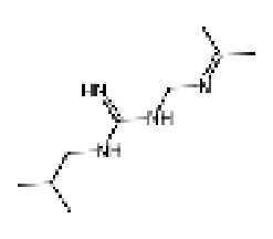 CC(C)=NCNC(=N)NCC(C)C